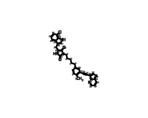 Cc1ccc(CCCCCN2C(=O)NC(Cc3c[nH]c4c(Cl)cccc34)C2=O)cc1C#Cc1cnc2cccnn12